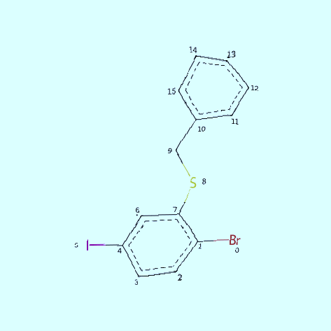 Brc1ccc(I)[c]c1SCc1ccccc1